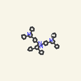 c1ccc(-c2cc(-c3ccccc3)nc(-c3ccc(-c4nc(-c5ccc(-c6cc(-c7ccccc7)nc(-c7ccccc7)c6)cc5)c5cc(-c6ccccc6)cc(-c6ccccc6)c5n4)cc3)c2)cc1